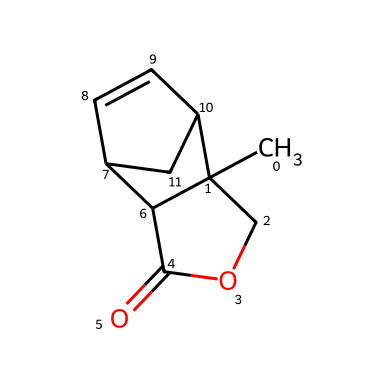 CC12COC(=O)C1C1C=CC2C1